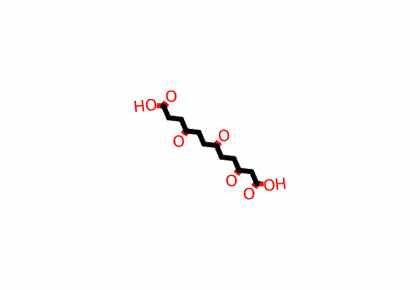 O=C(O)CCC(=O)CCC(=O)CCC(=O)CC(=O)O